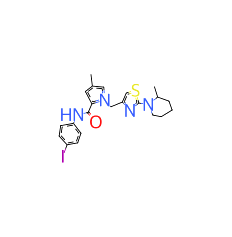 Cc1cc(C(=O)Nc2ccc(I)cc2)n(Cc2csc(N3CCCCC3C)n2)c1